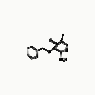 Cn1cnc(C(=O)O)c(OCc2ccccc2)c1=O